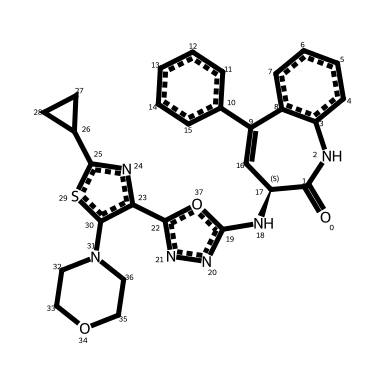 O=C1Nc2ccccc2C(c2ccccc2)=C[C@@H]1Nc1nnc(-c2nc(C3CC3)sc2N2CCOCC2)o1